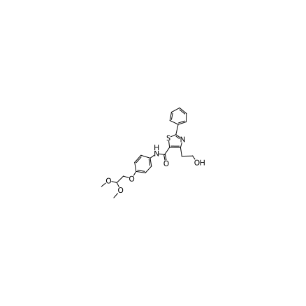 COC(COc1ccc(NC(=O)c2sc(-c3ccccc3)nc2CCO)cc1)OC